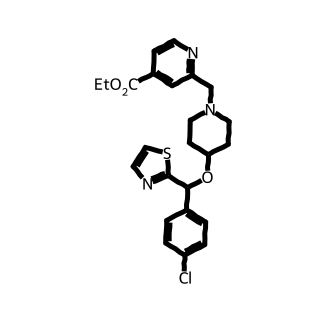 CCOC(=O)c1ccnc(CN2CCC(OC(c3ccc(Cl)cc3)c3nccs3)CC2)c1